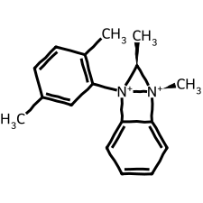 Cc1ccc(C)c([N+]23c4ccccc4[N@@+]2(C)[C@@H]3C)c1